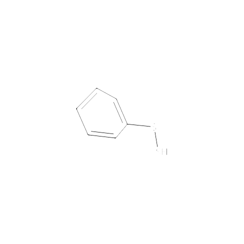 SSc1[c]cccc1